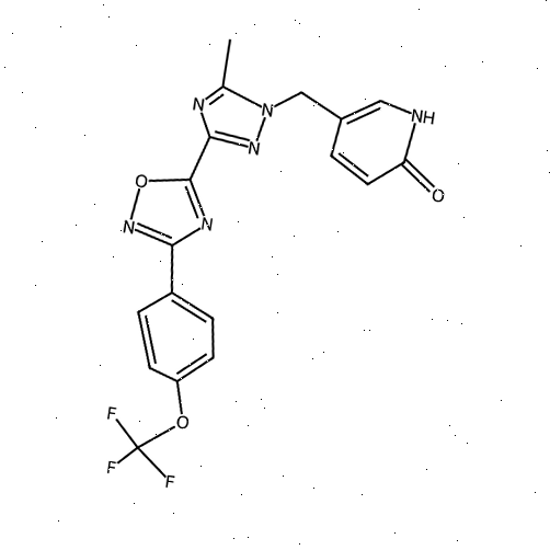 Cc1nc(-c2nc(-c3ccc(OC(F)(F)F)cc3)no2)nn1Cc1ccc(=O)[nH]c1